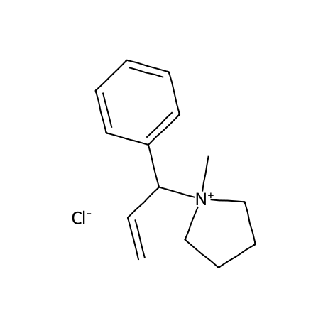 C=CC(c1ccccc1)[N+]1(C)CCCC1.[Cl-]